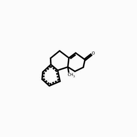 CC12CCC(=O)C=C1CCc1ccccc12